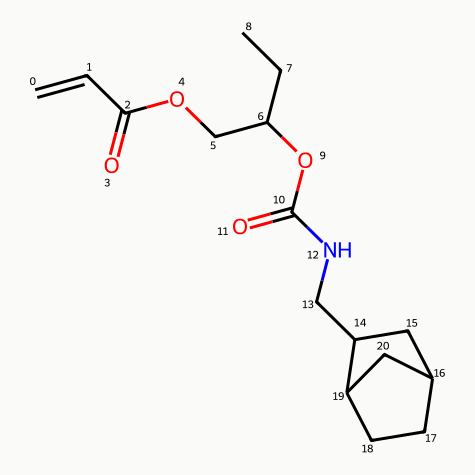 C=CC(=O)OCC(CC)OC(=O)NCC1CC2CCC1C2